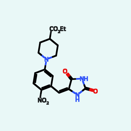 CCOC(=O)C1CCN(c2ccc([N+](=O)[O-])c(/C=C3/NC(=O)NC3=O)c2)CC1